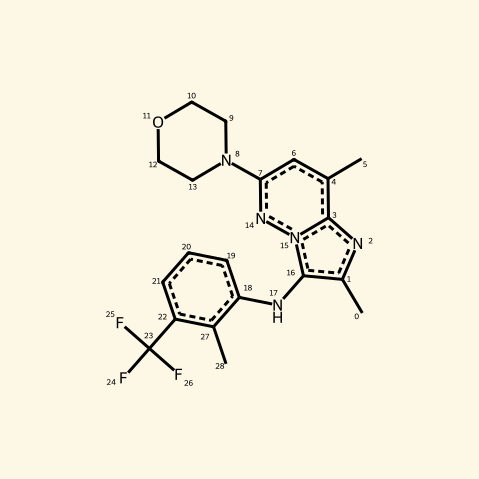 Cc1nc2c(C)cc(N3CCOCC3)nn2c1Nc1cccc(C(F)(F)F)c1C